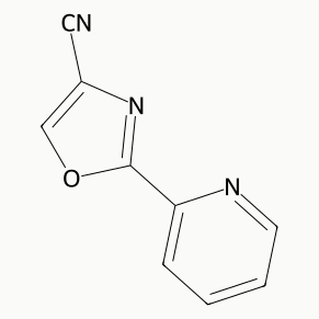 N#Cc1coc(-c2ccccn2)n1